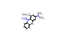 CCOC(=O)c1cc(N(C)C)cc2c1N(N)c1ccccc1C2